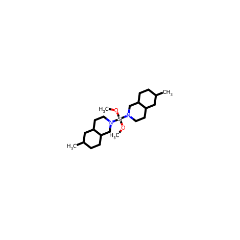 CO[Si](OC)(N1CCC2CC(C)CCC2C1)N1CCC2CC(C)CCC2C1